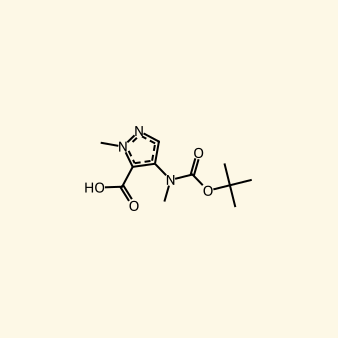 CN(C(=O)OC(C)(C)C)c1cnn(C)c1C(=O)O